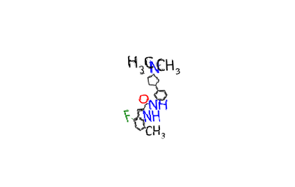 Cc1ccc(F)c2cc(C(=O)Nc3cccc(C4CCC(N(C)C)C4)c3)[nH]c12